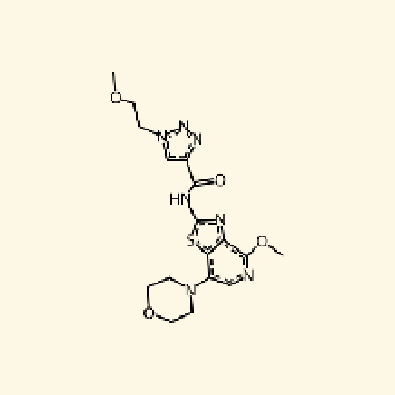 COCCn1cc(C(=O)Nc2nc3c(OC)ncc(N4CCOCC4)c3s2)nn1